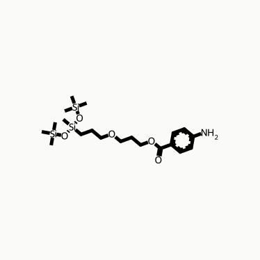 C[Si](C)(C)O[Si](C)(CCCOCCCOC(=O)c1ccc(N)cc1)O[Si](C)(C)C